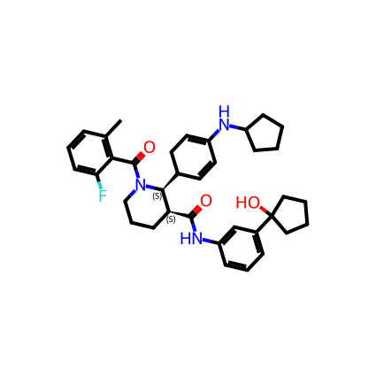 Cc1cccc(F)c1C(=O)N1CCC[C@H](C(=O)Nc2cccc(C3(O)CCCC3)c2)[C@@H]1C1C=CC(NC2CCCC2)=CC1